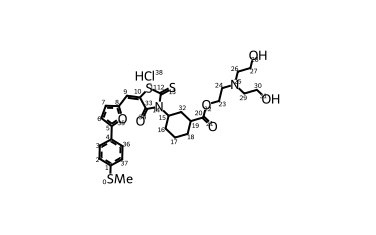 CSc1ccc(-c2ccc(C=C3SC(=S)N(C4CCCC(C(=O)OCCN(CCO)CCO)C4)C3=O)o2)cc1.Cl